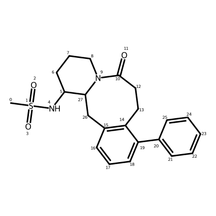 CS(=O)(=O)NC1CCCN2C(=O)CCc3c(cccc3-c3ccccc3)CC12